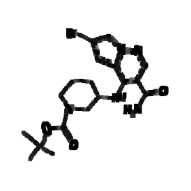 CC(C)(C)OC(=O)N1CCCC(Nc2c(C(N)=O)cnn3cc(Br)cc23)C1